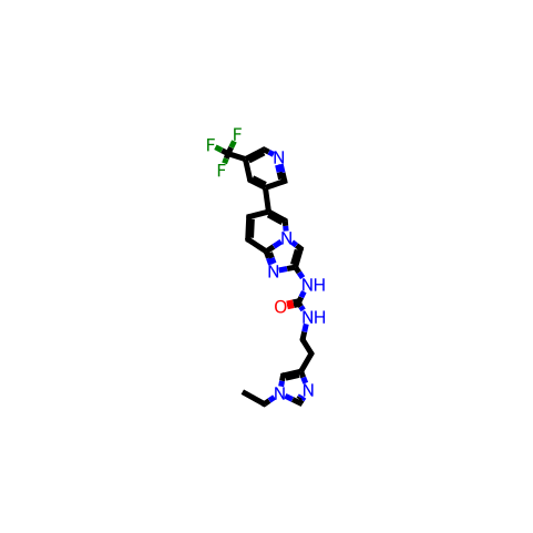 CCn1cnc(CCNC(=O)Nc2cn3cc(-c4cncc(C(F)(F)F)c4)ccc3n2)c1